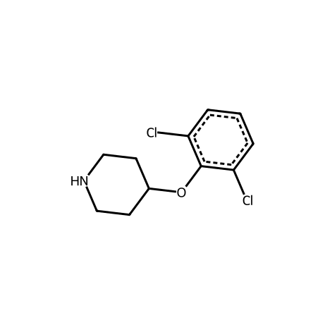 Clc1cccc(Cl)c1OC1CCNCC1